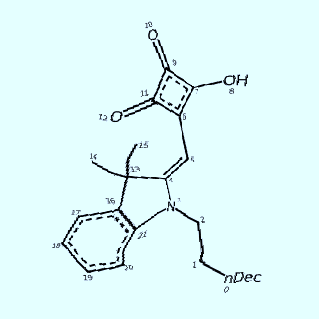 CCCCCCCCCCCCN1/C(=C/c2c(O)c(=O)c2=O)C(C)(C)c2ccccc21